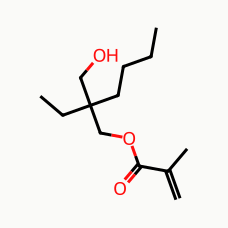 C=C(C)C(=O)OCC(CC)(CO)CCCC